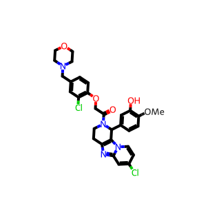 COc1ccc(C2c3c(nc4cc(Cl)ccn34)CCN2C(=O)COc2ccc(CN3CCOCC3)cc2Cl)cc1O